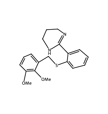 COc1cccc(CSc2ccccc2C2=NCCCN2)c1OC